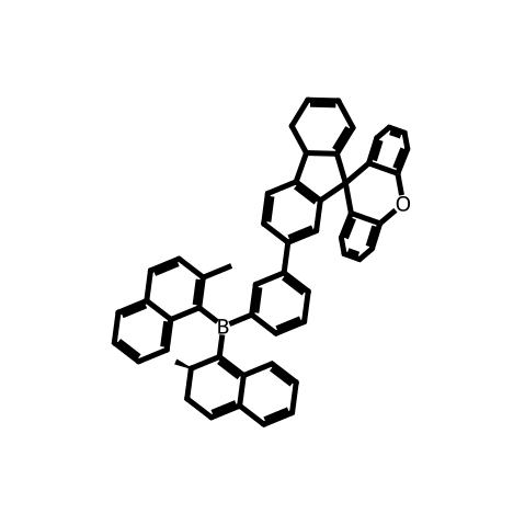 Cc1ccc2ccccc2c1B(C1=c2ccccc2=CC[C@H]1C)c1cccc(-c2ccc3c(c2)C2(C4=CC=CCC43)c3ccccc3Oc3ccccc32)c1